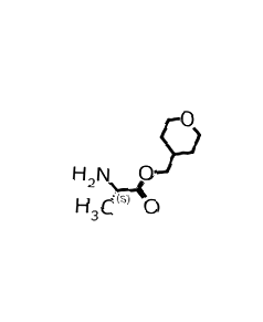 C[C@H](N)C(=O)OCC1CCOCC1